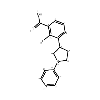 O=C(O)c1cccc(C2CCN(c3ccncc3)C2)c1F